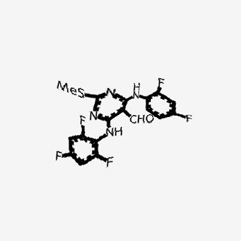 CSc1nc(Nc2ccc(F)cc2F)c(C=O)c(Nc2c(F)cc(F)cc2F)n1